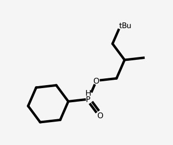 CC(CO[PH](=O)C1CCCCC1)CC(C)(C)C